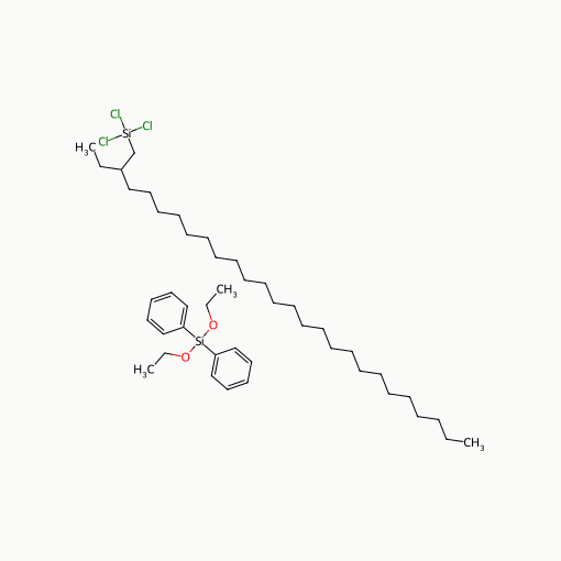 CCCCCCCCCCCCCCCCCCCCCCCCC(CC)C[Si](Cl)(Cl)Cl.CCO[Si](OCC)(c1ccccc1)c1ccccc1